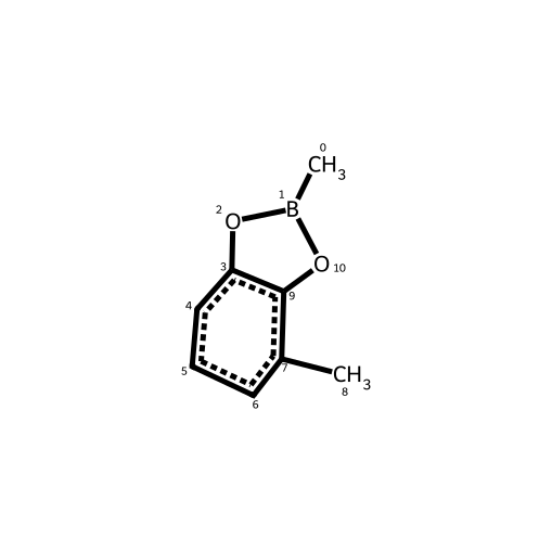 CB1Oc2cccc(C)c2O1